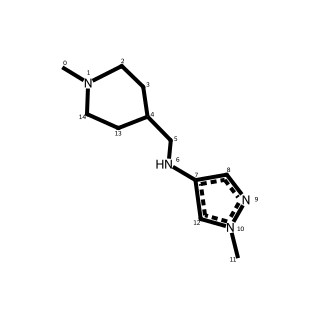 CN1CCC(CNc2cnn(C)c2)CC1